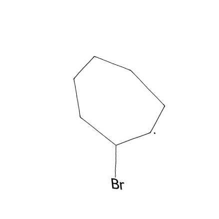 BrC1[CH]CCCCC1